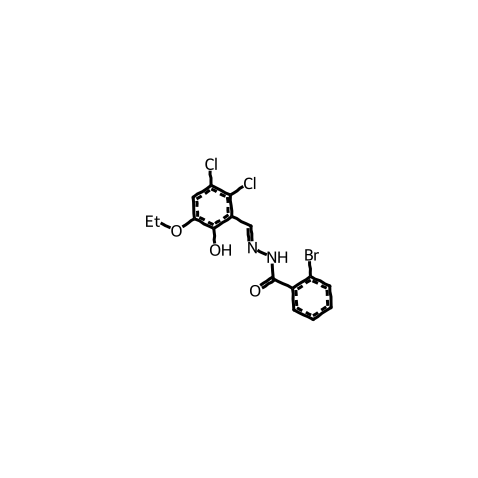 CCOc1cc(Cl)c(Cl)c(C=NNC(=O)c2ccccc2Br)c1O